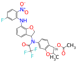 CC(=O)O[C@H]1c2ccc(N(C(=O)C(F)(F)F)C3COc4c(Nc5cc(F)ccc5[N+](=O)[O-])cccc43)cc2OC1C